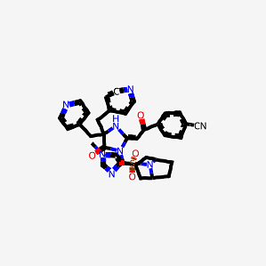 Cn1cnc(S(=O)(=O)N2C3CCC2CC(CN2C(=O)C(Cc4ccncc4)(Cc4ccncc4)NC2=CC(=O)c2ccc(C#N)cc2)C3)c1